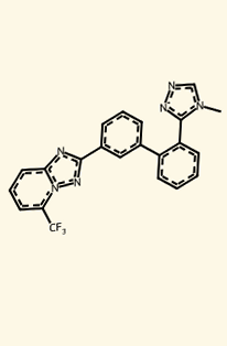 Cn1cnnc1-c1ccccc1-c1cccc(-c2nc3cccc(C(F)(F)F)n3n2)c1